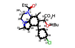 CCC(=O)N1c2c(C)c([C@H](OC(C)(C)C)C(=O)O)c(-c3ccc(Cl)cc3)c3cc(C)n(c23)C[C@@H]1C